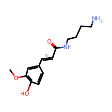 COc1cc(/C=C/C(=O)NCCCCN)ccc1O